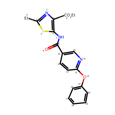 CCOC(=O)c1nc(CC)sc1NC(=O)c1ccc(Oc2ccccc2)nc1